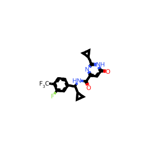 O=C(NC(c1ccc(C(F)(F)F)c(F)c1)C1CC1)c1cc(=O)[nH]c(C2CC2)n1